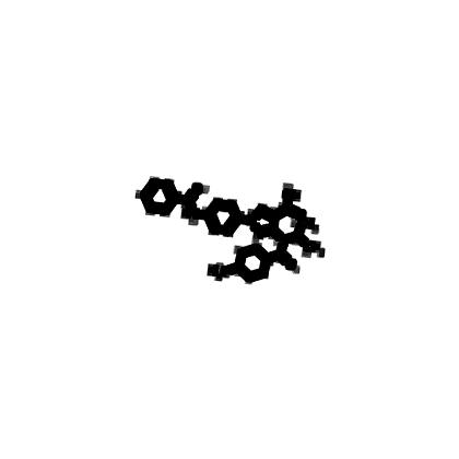 CC1CCC(C(=O)N(c2nn(-c3ccc(NC(=O)c4ccccc4)cc3)cc2C(=O)O)C(C)C)CC1